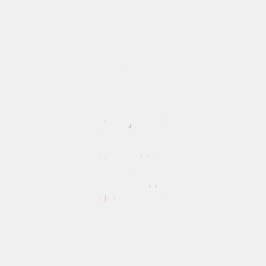 O=S(=O)(O)O[Si]1(Cl)CCCCO1